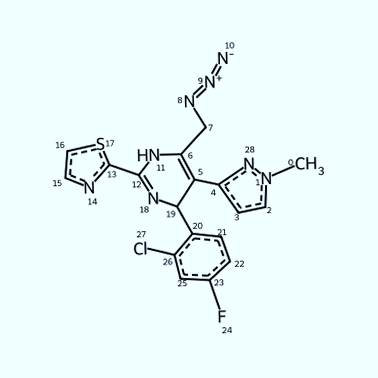 Cn1ccc(C2=C(CN=[N+]=[N-])NC(c3nccs3)=NC2c2ccc(F)cc2Cl)n1